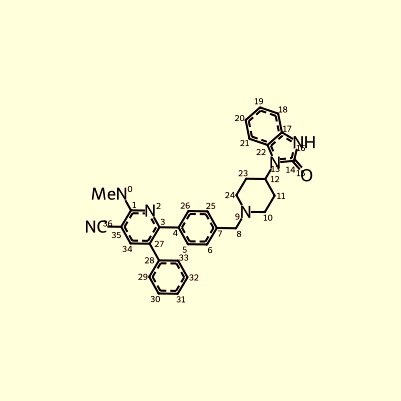 CNc1nc(-c2ccc(CN3CCC(n4c(=O)[nH]c5ccccc54)CC3)cc2)c(-c2ccccc2)cc1C#N